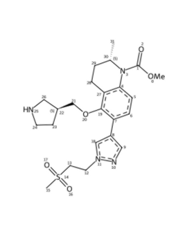 COC(=O)N1c2ccc(-c3cnn(CCS(C)(=O)=O)c3)c(OC[C@H]3CCNC3)c2CC[C@@H]1C